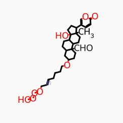 CC12CCC3C(CCC4CC(OCCCC/C=C/COOOO)CCC43C=O)C1(O)CCC2c1ccc(=O)oc1